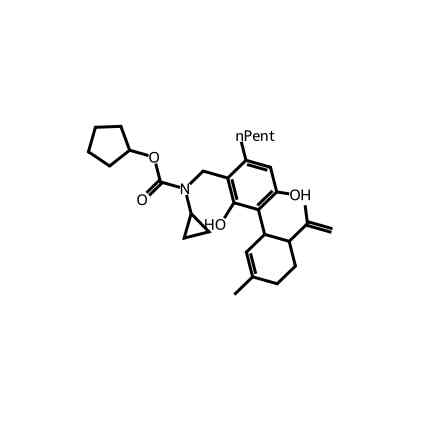 C=C(C)C1CCC(C)=CC1c1c(O)cc(CCCCC)c(CN(C(=O)OC2CCCC2)C2CC2)c1O